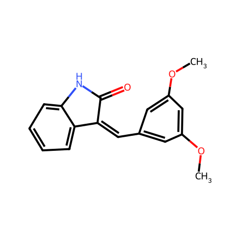 COc1cc(C=C2C(=O)Nc3ccccc32)cc(OC)c1